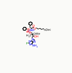 CCCCCCCCCCCCCCCOC(=O)[C@H](Cc1ccccc1)NP(=O)(OC[C@@](C)(OC)[C@@H](O)Cn1cnc2c(N)nc(F)nc21)Oc1ccccc1